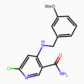 COc1cccc(CNc2cc(Cl)ncc2C(N)=O)c1